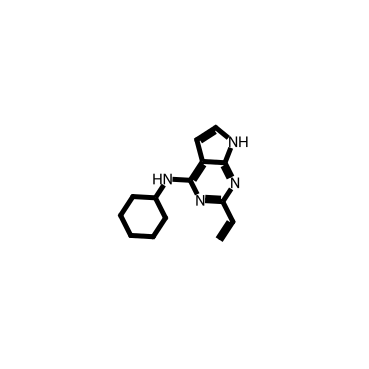 C=Cc1nc(NC2CCCCC2)c2cc[nH]c2n1